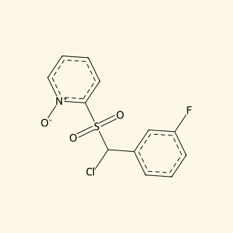 O=S(=O)(c1cccc[n+]1[O-])C(Cl)c1cccc(F)c1